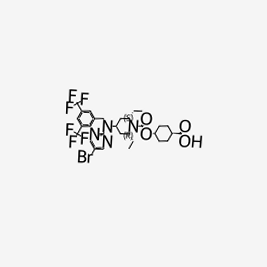 CC[C@@H]1CC(N(Cc2cc(C(F)(F)F)cc(C(F)(F)F)c2)c2ncc(Br)cn2)C[C@H](CC)N1C(=O)O[C@H]1CC[C@H](C(=O)O)CC1